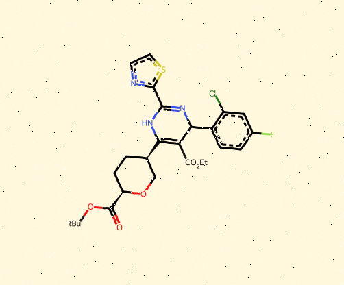 CCOC(=O)C1=C([C@@H]2CC[C@H](C(=O)OC(C)(C)C)OC2)NC(c2nccs2)=NC1c1ccc(F)cc1Cl